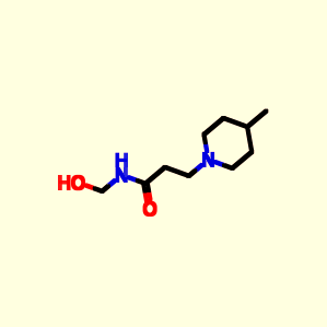 CC1CCN(CCC(=O)NCO)CC1